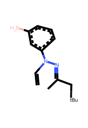 Bc1cccc(N(C=C)/N=C(\C)CC(C)(C)C)c1